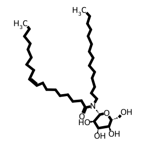 CCCCCCCC/C=C\CCCCCCCC(=O)N(CCCCCCCCCCCCCC)[C@@H]1O[C@H](CO)[C@@H](O)[C@H](O)[C@H]1O